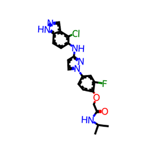 CC(C)NC(=O)COc1ccc(-n2ccc(Nc3ccc4[nH]ncc4c3Cl)n2)cc1F